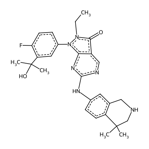 CCn1c(=O)c2cnc(Nc3ccc4c(c3)CNCC4(C)C)nc2n1-c1ccc(F)c(C(C)(C)O)c1